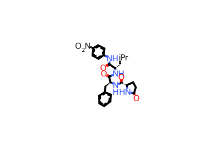 CC(C)C[C@H](NC(=O)[C@H](Cc1ccccc1)NC(=O)[C@@H]1CCC(=O)N1)C(=O)Nc1ccc([N+](=O)[O-])cc1